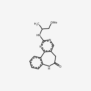 COCC(C)Nc1ncc2c(n1)-c1ccccc1NC(=O)C2